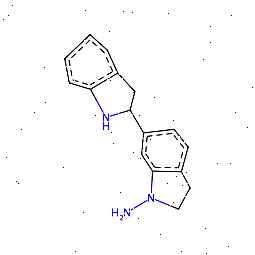 NN1CCc2ccc(C3Cc4ccccc4N3)cc21